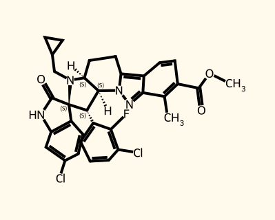 COC(=O)c1ccc2c3n(nc2c1C)[C@@H]1[C@H](CC3)N(CC2CC2)[C@@]2(C(=O)Nc3cc(Cl)ccc32)[C@H]1c1cccc(Cl)c1F